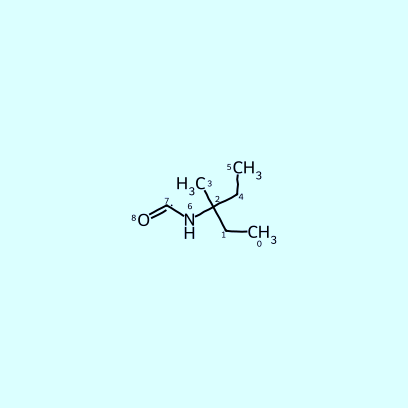 CCC(C)(CC)N[C]=O